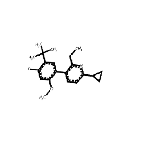 CCc1nc(C2CC2)ccc1-c1cc(C(C)(C)C)c(F)cc1OC